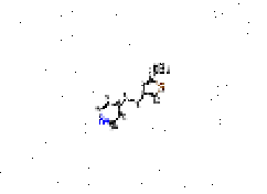 CC(C)(C)c1cc(CCc2ccncc2)cs1